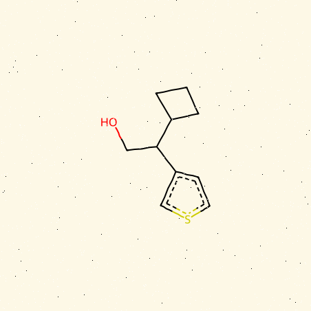 OCC(c1ccsc1)C1CCC1